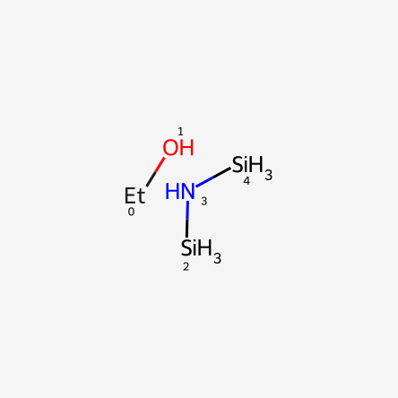 CCO.[SiH3]N[SiH3]